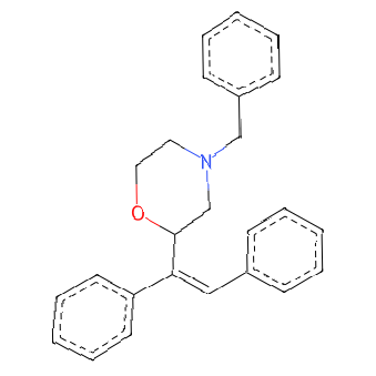 C(=C(c1ccccc1)C1CN(Cc2ccccc2)CCO1)c1ccccc1